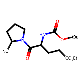 CCOC(=O)CCC(NC(=O)OC(C)(C)C)C(=O)N1CCCC1C#N